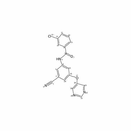 N#Cc1cc(NC(=O)c2cccc(Cl)c2)cc(Oc2cncnc2)c1